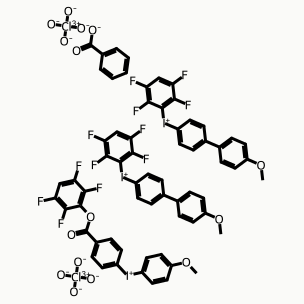 COc1ccc(-c2ccc([I+]c3c(F)c(F)cc(F)c3F)cc2)cc1.COc1ccc(-c2ccc([I+]c3c(F)c(F)cc(F)c3F)cc2)cc1.COc1ccc([I+]c2ccc(C(=O)Oc3c(F)c(F)cc(F)c3F)cc2)cc1.O=C([O-])c1ccccc1.[O-][Cl+3]([O-])([O-])[O-].[O-][Cl+3]([O-])([O-])[O-]